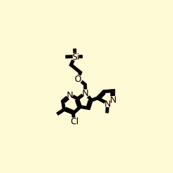 Cc1cnc2c(cc(-c3ccnn3C)n2COCC[Si](C)(C)C)c1Cl